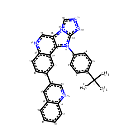 CC(C)(C)c1ccc(-n2c3c4cc(-c5cnc6ccccc6c5)ccc4ncc3n3cnnc23)cc1